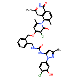 CNC(=O)Cc1c(C(N)=O)ccc(C)c1-n1c(C)cc(OCc2ccccc2CNC(=O)Nc2cc(C(C)(C)C)nn2-c2ccc(Cl)c(O)c2)c(Cl)c1=O